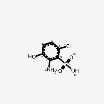 Nc1c(O)ccc(Cl)c1S(=O)(=O)O